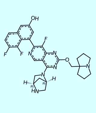 Oc1cc(-c2ncc3c(N4C[C@H]5C[C@@H]4CN5)nc(OCC45CCCN4CCC5)nc3c2F)c2c(F)c(F)ccc2c1